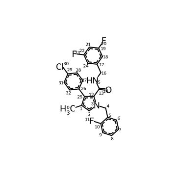 Cc1cn(Cc2ccccc2F)c(C(=O)NCc2cc(F)cc(F)c2)c1-c1ccc(Cl)cc1